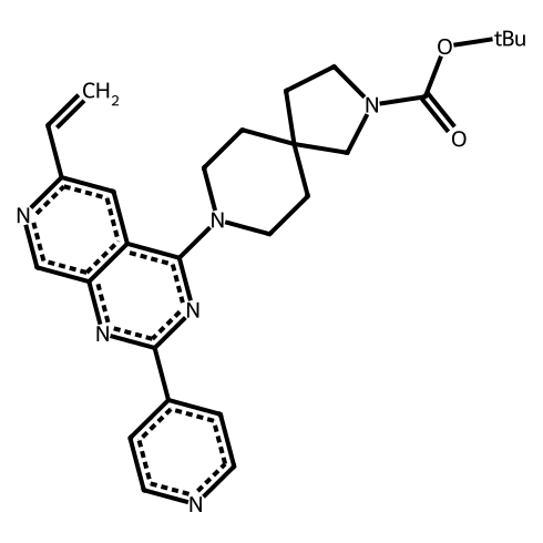 C=Cc1cc2c(N3CCC4(CCN(C(=O)OC(C)(C)C)C4)CC3)nc(-c3ccncc3)nc2cn1